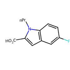 CCCn1c(C(=O)O)cc2cc(F)ccc21